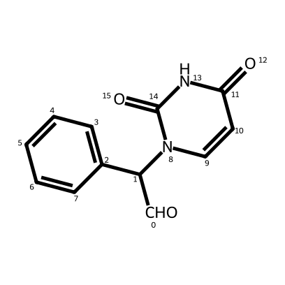 O=CC(c1ccccc1)n1ccc(=O)[nH]c1=O